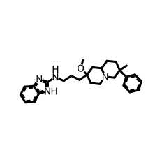 COC1(CCCNc2nc3ccccc3[nH]2)CCN2CC(C)(c3ccccc3)CCC2C1